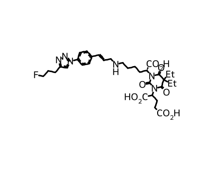 CCC1(CC)C(=O)N(C(CCC(=O)O)C(=O)O)C(=O)N([C@@H](CCCCNC/C=C/c2ccc(-n3cc(CCCF)nn3)cc2)C(=O)O)C1=O